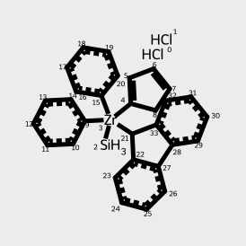 Cl.Cl.[SiH3][Zr]([C]1=CC=CC1)([c]1ccccc1)([c]1ccccc1)[CH]1c2ccccc2-c2ccccc21